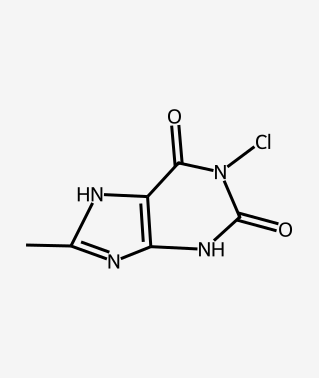 Cc1nc2[nH]c(=O)n(Cl)c(=O)c2[nH]1